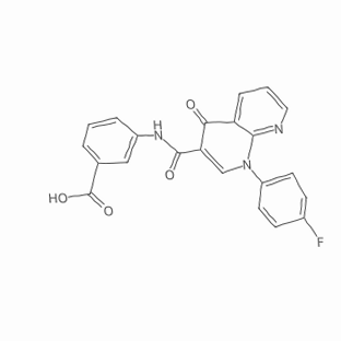 O=C(O)c1cccc(NC(=O)c2cn(-c3ccc(F)cc3)c3ncccc3c2=O)c1